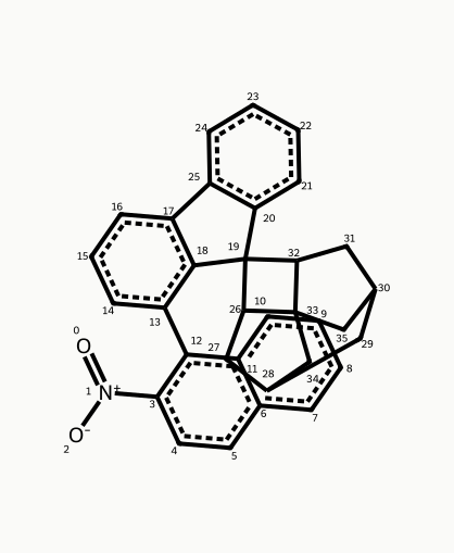 O=[N+]([O-])c1ccc2ccccc2c1-c1cccc2c1C1(c3ccccc3-2)C2CC3CC4CC1C2(C3)C4